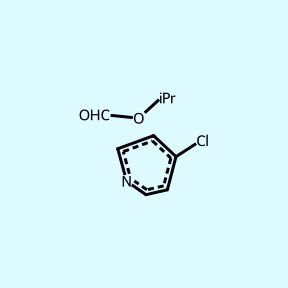 CC(C)OC=O.Clc1ccncc1